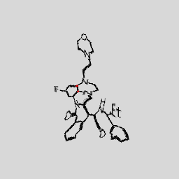 CC[C@H](NC(=O)c1c(CN2CCN(CCN3CCOCC3)CC2)n(-c2cccc(F)c2)c(=O)c2ccccc12)c1ccccc1